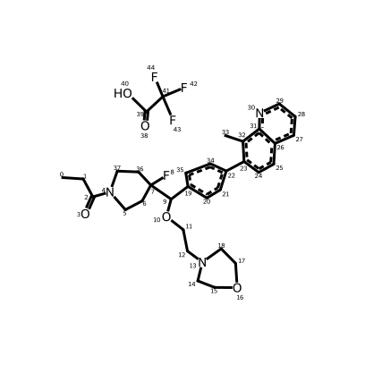 CCC(=O)N1CCC(F)(C(OCCN2CCOCC2)c2ccc(-c3ccc4cccnc4c3C)cc2)CC1.O=C(O)C(F)(F)F